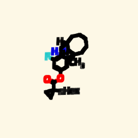 CCCCCCC1(C(=O)Oc2cc(F)c3c(c2)[C@@]2(C)CCCCC[C@@H](C3)[C@@H]2N)CC1